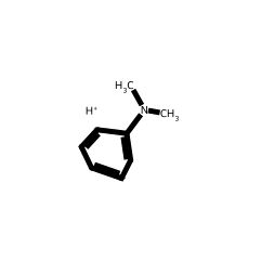 CN(C)c1c[c]ccc1.[H+]